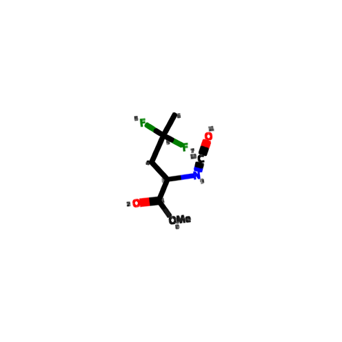 COC(=O)C(CC(C)(F)F)N=C=O